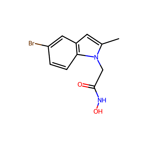 Cc1cc2cc(Br)ccc2n1CC(=O)NO